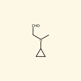 CN(C[C]=O)C1CC1